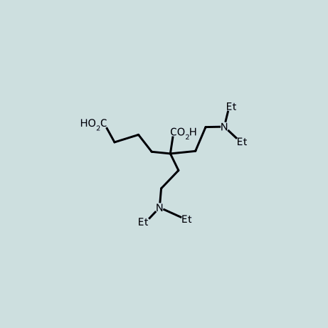 CCN(CC)CCC(CCCC(=O)O)(CCN(CC)CC)C(=O)O